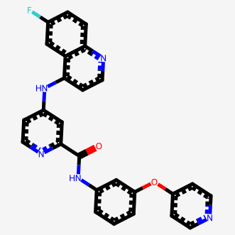 O=C(Nc1cccc(Oc2ccncc2)c1)c1cc(Nc2ccnc3ccc(F)cc23)ccn1